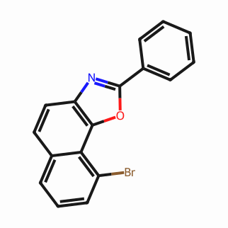 Brc1cccc2ccc3nc(-c4ccccc4)oc3c12